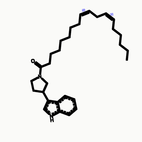 CCCCC/C=C\C/C=C\CCCCCCCC(=O)N1CCC(c2c[nH]c3ccccc23)C1